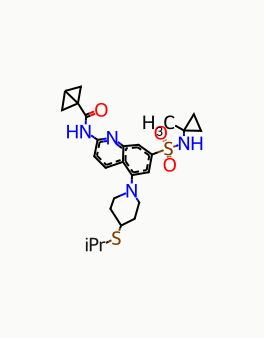 CC(C)SC1CCN(c2cc(S(=O)(=O)NC3(C)CC3)cc3nc(NC(=O)C45CC4C5)ccc23)CC1